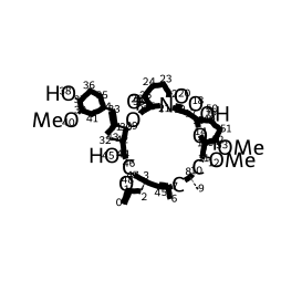 C=CC[C@H]1/C=C(/C)C[C@@H](C)C[C@@H](OC)[C@@H]2O[C@@](O)(C(=O)C(=O)N3CCCC[C@H]3C(=O)O[C@H](/C(C)=C/[C@@H]3CC[C@@H](O)[C@H](OC)C3)[C@H](C)[C@@H](O)CC1=O)[C@H](C)C[C@@H]2OC